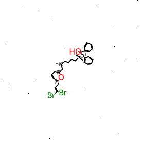 C[C@@H](CCCCC(C)(C)[Si](O)(c1ccccc1)c1ccccc1)C[C@@H]1CC=C[C@@H](CC=C(Br)Br)O1